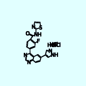 Cl.Cl.Cl.O=C(Nc1nccs1)c1ccc(-c2ncnc3ccc(-c4cn[nH]c4)cc23)cc1F